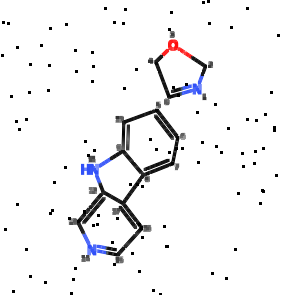 C1=NCOC1.c1ccc2c(c1)[nH]c1cnccc12